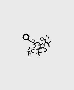 COC(=O)C(=C(C)C)N1C(=O)[C@@H]([C@@H](CO[SiH](C)C)C(C)(C)C)[C@H]1CC(=O)OCc1ccccc1